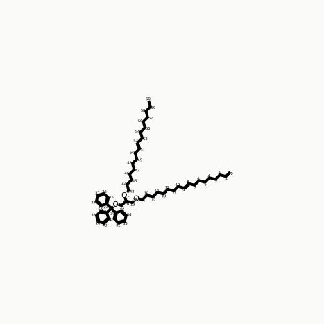 CCCCCCCCC=CCCCCCCCCOCC(COC(c1ccccc1)(c1ccccc1)c1ccccc1)OCCCCCCCCC=CCCCCCCCC